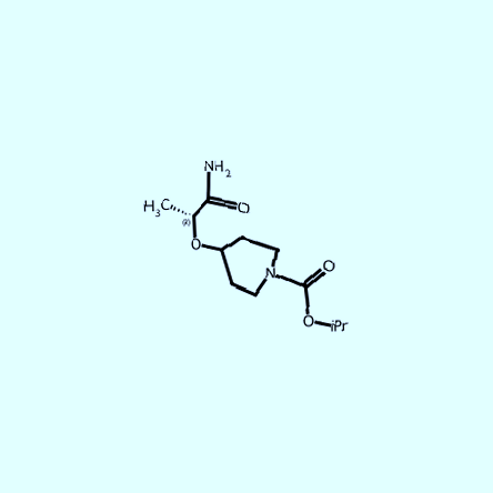 CC(C)OC(=O)N1CCC(O[C@H](C)C(N)=O)CC1